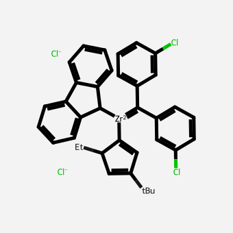 CCC1C=C(C(C)(C)C)C=[C]1[Zr+2](=[C](c1cccc(Cl)c1)c1cccc(Cl)c1)[CH]1c2ccccc2-c2ccccc21.[Cl-].[Cl-]